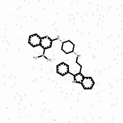 CN(C)c1cc(N[C@H]2CC[C@@H](NCCc3c(-c4ccccc4)[nH]c4ccccc34)CC2)nc2ccccc12